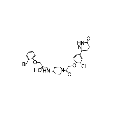 O=C1CCC(c2ccc(OCC(=O)N3CCC(NC[C@H](O)COc4ccccc4Br)CC3)c(Cl)c2)=NN1